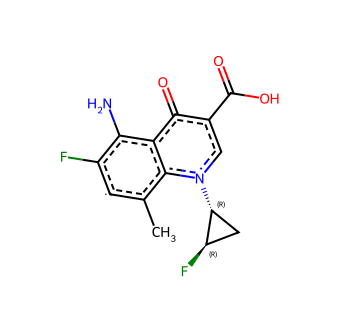 Cc1[c]c(F)c(N)c2c(=O)c(C(=O)O)cn([C@@H]3C[C@H]3F)c12